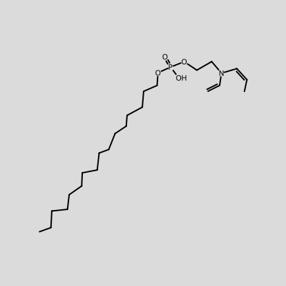 C=CN(/C=C\C)CCOP(=O)(O)OCCCCCCCCCCCCCCCC